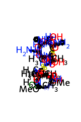 COc1cc2cc(c1Cl)N(C)C(=O)C[C@H](OC(=O)[C@H](C)N(C)C(=O)CCSSCCNC(=O)[C@@H](NC(=O)[C@@H]1CSSC[C@H](NC(=O)[C@H](N)Cc3ccccc3)C(=O)N[C@@H](Cc3ccc(O)cc3)C(=O)N[C@H](Cc3c[nH]c4ccccc34)C(=O)N[C@@H](CCCCCN)C(=O)N[C@@H]([C@@H](C)O)C(=O)N1)[C@@H](C)O)[C@]1(C)O[C@H]1[C@H](C)[C@@H]1C[C@@](O)(NC(=O)O1)[C@H](OC)/C=C/C=C(\C)C2